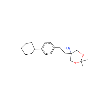 CC1(C)OCC(N)(CCc2ccc(C3CCCCC3)cc2)CO1